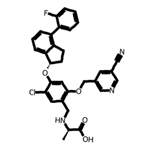 C[C@@H](NCc1cc(Cl)c(O[C@H]2CCc3c(-c4ccccc4F)cccc32)cc1OCc1cncc(C#N)c1)C(=O)O